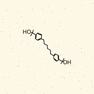 CC(C)(O)c1ccc(CCCCCCc2ccc(C(C)(C)O)cc2)cc1